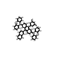 Cc1cc(C)cc(-c2c3c(c(-c4ccc5ccccc5c4)c4ccc(N5c6ccccc6Oc6ccccc65)cc24)CC(N2c4ccccc4Oc4ccccc42)C=C3)c1